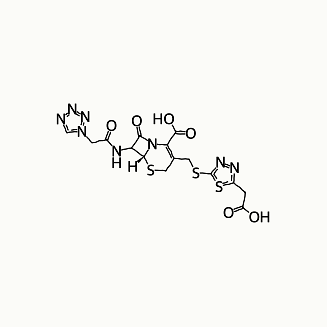 O=C(O)Cc1nnc(SCC2=C(C(=O)O)N3C(=O)C(NC(=O)Cn4cnnn4)[C@H]3SC2)s1